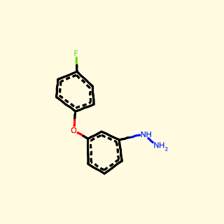 NNc1cccc(Oc2ccc(F)cc2)c1